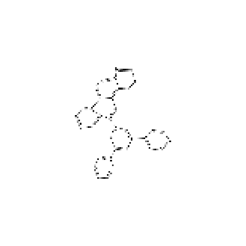 c1ccc(-c2cc(-c3ccccc3)cc(-c3cc4c5cccnc5ccc4c4ccccc34)c2)cc1